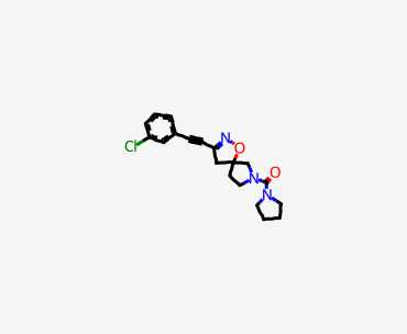 O=C(N1CCCC1)N1CCC2(CC(C#Cc3cccc(Cl)c3)=NO2)C1